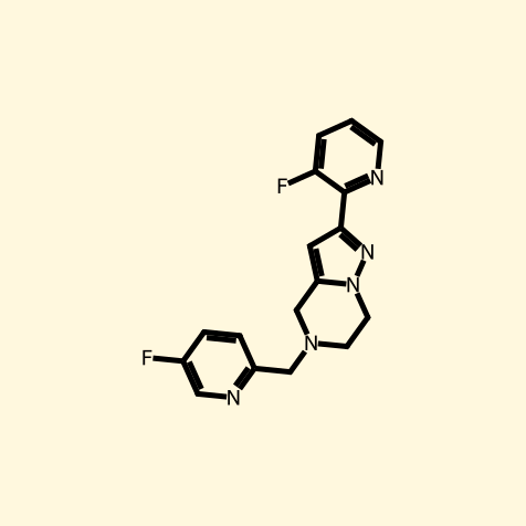 Fc1ccc(CN2CCn3nc(-c4ncccc4F)cc3C2)nc1